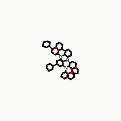 c1ccc(-c2ccc(N3c4cc(-c5ccccc5)cc5c4B(c4cccc(-c6ccccc6)c43)c3cccc(-c4ccccc4)c3N5c3ccccc3-c3ccccc3)cc2)cc1